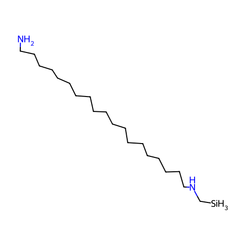 NCCCCCCCCCCCCCCCCCCCNC[SiH3]